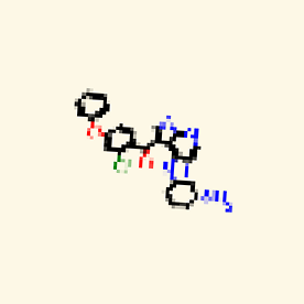 N[C@@H]1CCC[C@@H](Nc2ccnc3[nH]cc(C(=O)c4ccc(Oc5ccccc5)cc4Cl)c23)C1